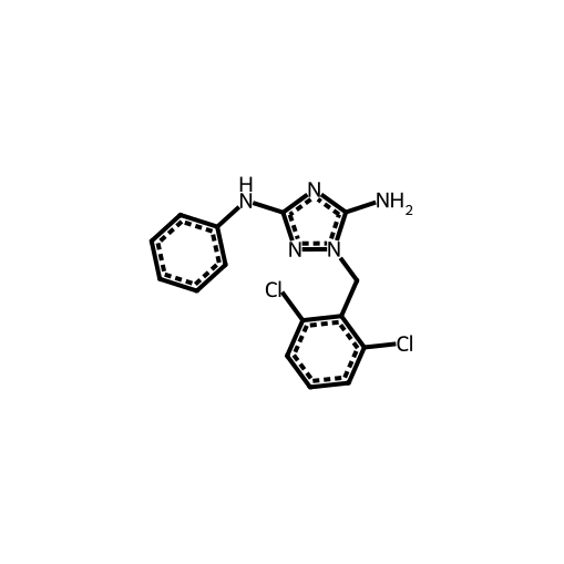 Nc1nc(Nc2ccccc2)nn1Cc1c(Cl)cccc1Cl